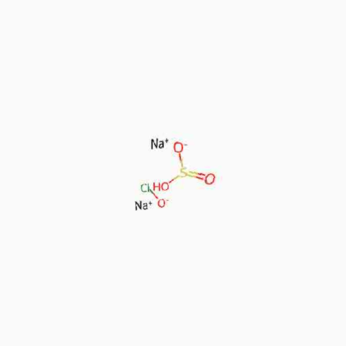 O=S([O-])O.[Na+].[Na+].[O-]Cl